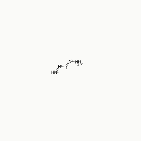 N=NC=NN